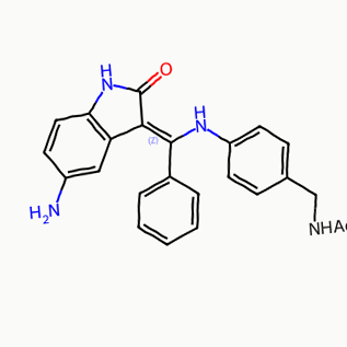 CC(=O)NCc1ccc(N/C(=C2\C(=O)Nc3ccc(N)cc32)c2ccccc2)cc1